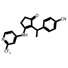 CC(C1=C(Nc2ccnc(C(F)(F)F)c2)CCC1=O)c1ccc(C#N)cc1